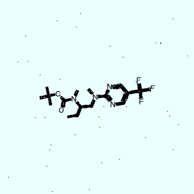 CCC(CN(C)c1ncc(C(F)(F)F)cn1)N(C)C(=O)OC(C)(C)C